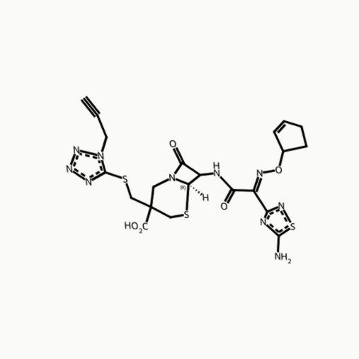 C#CCn1nnnc1SCC1(C(=O)O)CS[C@@H]2C(NC(=O)C(=NOC3C=CCC3)c3nsc(N)n3)C(=O)N2C1